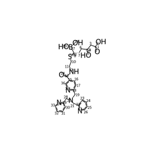 O=C(O)C[C@@H](O)CC[C@H](SCCNC(=O)c1ccc(CN(Cc2ccccn2)Cc2ccccn2)nc1)B(O)O